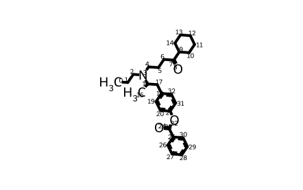 CCCN(CCCC(=O)C1CCCCC1)C(C)Cc1ccc(OC(=O)c2ccccc2)cc1